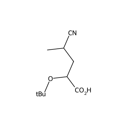 CC(C#N)CC(OC(C)(C)C)C(=O)O